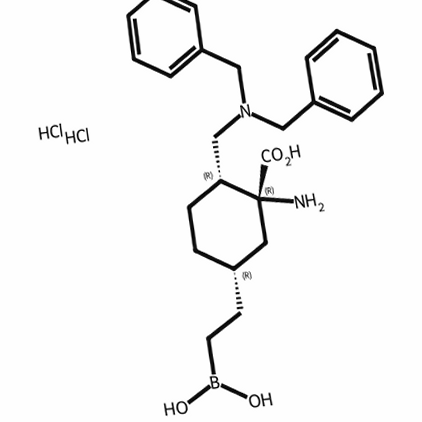 Cl.Cl.N[C@]1(C(=O)O)C[C@H](CCB(O)O)CC[C@@H]1CN(Cc1ccccc1)Cc1ccccc1